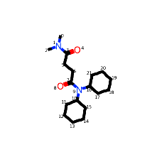 CN(C)C(=O)CCC(=O)N(C1CCCCC1)C1CCCCC1